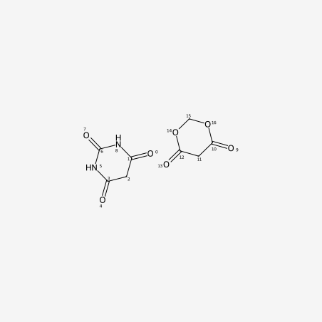 O=C1CC(=O)NC(=O)N1.O=C1CC(=O)OCO1